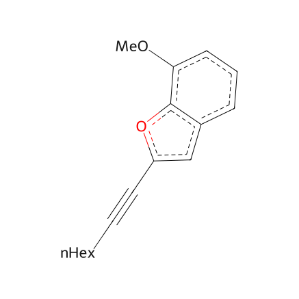 CCCCCCC#Cc1cc2cccc(OC)c2o1